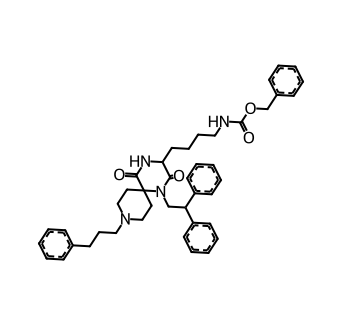 O=C(NCCCCC1NC(=O)C2(CCN(CCCc3ccccc3)CC2)N(CC(c2ccccc2)c2ccccc2)C1=O)OCc1ccccc1